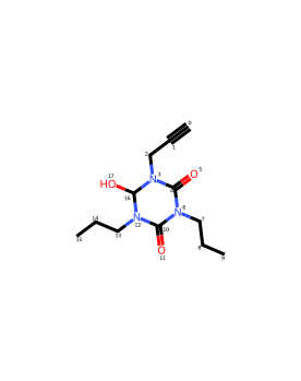 C#CCN1C(=O)N(CCC)C(=O)N(CCC)C1O